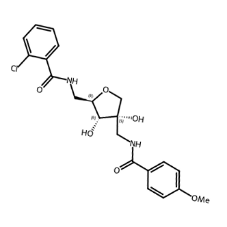 COc1ccc(C(=O)NC[C@]2(O)CO[C@H](CNC(=O)c3ccccc3Cl)[C@H]2O)cc1